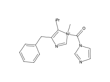 CC(C)C1=C(Cc2ccccc2)N=C[N+]1(C)C(=O)n1ccnc1